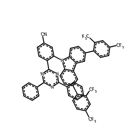 N#Cc1ccc(-c2nc(-c3ccccc3)nc(-c3ccccc3)n2)c(-n2c3ccc(-c4ccc(C(F)(F)F)cc4C(F)(F)F)cc3c3cc(-c4ccc(C(F)(F)F)cc4C(F)(F)F)ccc32)c1